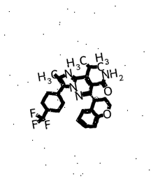 Cc1nc2c(C(C)C)c(C(N)=O)c([C@H]3CCOc4ccccc43)nn2c1C1CCC(C(F)(F)F)CC1